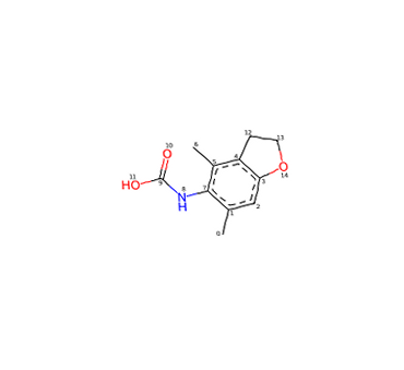 Cc1cc2c(c(C)c1NC(=O)O)CCO2